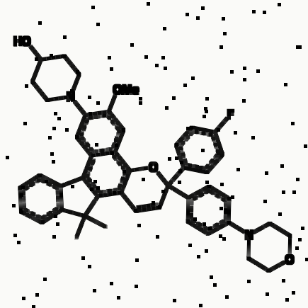 COc1cc2c3c(c4c(c2cc1N1CCC(O)CC1)-c1ccccc1C4(C)C)C=CC(c1ccc(F)cc1)(c1ccc(N2CCOCC2)cc1)O3